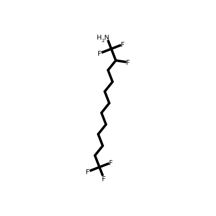 NC(F)(F)C(F)CCCCCCCCCC(F)(F)F